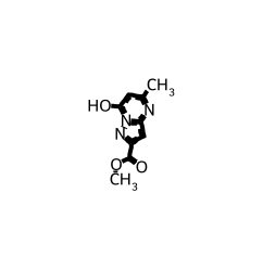 COC(=O)c1cc2nc(C)cc(O)n2n1